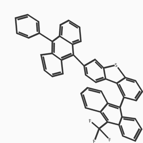 FC(F)(F)c1c2ccccc2c(-c2cccc3sc4cc(-c5c6ccccc6c(-c6ccccc6)c6ccccc56)ccc4c23)c2ccccc12